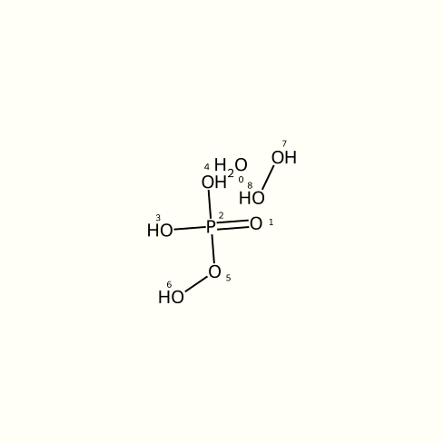 O.O=P(O)(O)OO.OO